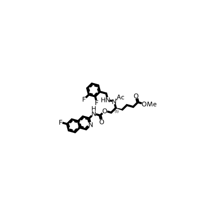 COC(=O)CCC[C@@H](COC(=O)Nc1cc2cc(F)ccc2cn1)N(NCc1cccc(F)c1F)C(C)=O